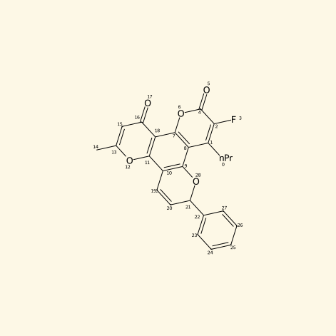 CCCc1c(F)c(=O)oc2c1c1c(c3oc(C)cc(=O)c32)[C]=CC(c2ccccc2)O1